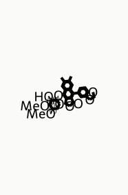 CO[C@@H]1[C@@H](O)[C@H](Oc2c3c(c(-c4ccc5c(c4)OCO5)c4cc(C)c(C)cc24)C(=O)OC3)OC[C@H]1OC